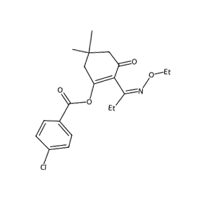 CCO/N=C(/CC)C1=C(OC(=O)c2ccc(Cl)cc2)CC(C)(C)CC1=O